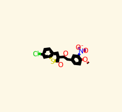 COc1ccc(CC(=O)c2cc3ccc(Cl)cc3sc2=O)cc1[N+](=O)[O-]